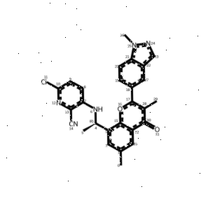 Cc1cc([C@@H](C)Nc2ccc(Cl)nc2C#N)c2oc(-c3ccc4c(cnn4C)c3)c(C)c(=O)c2c1